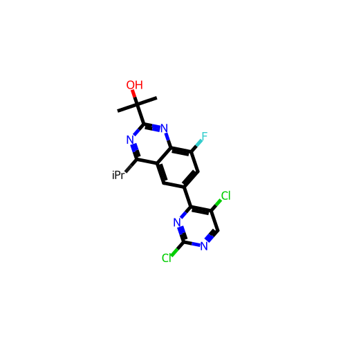 CC(C)c1nc(C(C)(C)O)nc2c(F)cc(-c3nc(Cl)ncc3Cl)cc12